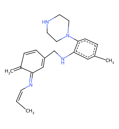 C=C1C=CC(CNc2cc(C)ccc2N2CCNCC2)=C/C1=N/C=C\C